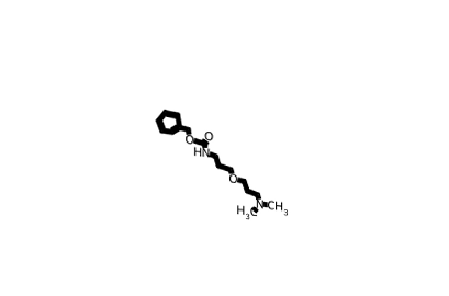 CN(C)CCCOCCCNC(=O)OCc1ccccc1